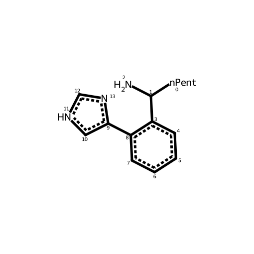 CCCCCC(N)c1ccccc1-c1c[nH]cn1